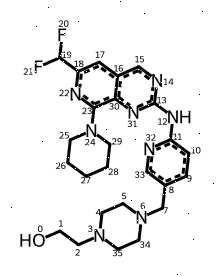 OCCN1CCN(Cc2ccc(Nc3ncc4cc(C(F)F)nc(N5CCCCC5)c4n3)nc2)CC1